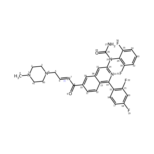 CN1CCN(C/C=N/C(=O)c2ccc3c(-c4ccc(F)cc4F)nc(N(C(N)=O)c4c(F)cccc4F)cc3c2)CC1